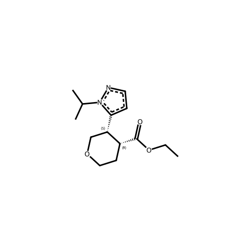 CCOC(=O)[C@@H]1CCOC[C@@H]1c1ccnn1C(C)C